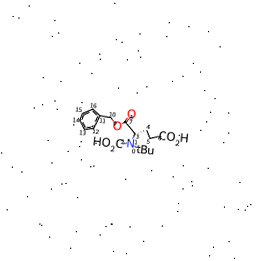 CC(C)(C)N(C(=O)O)[C@@H](CCC(=O)O)C(=O)OCc1ccccc1